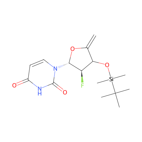 C=C1O[C@@H](n2ccc(=O)[nH]c2=O)[C@H](F)C1O[Si](C)(C)C(C)(C)C